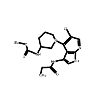 COCC(=O)Nc1c[nH]c2ncc(Cl)c(N3CCCC(NC(=O)OC(C)(C)C)C3)c12